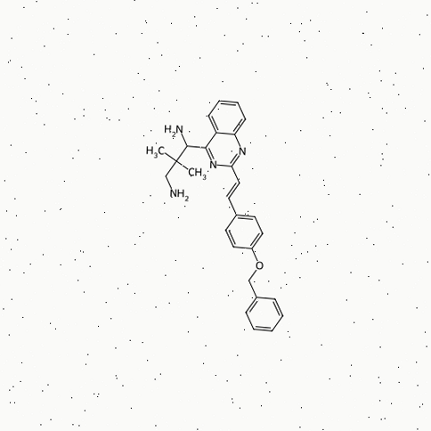 CC(C)(CN)C(N)c1nc(C=Cc2ccc(OCc3ccccc3)cc2)nc2ccccc12